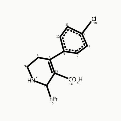 CCCC1NCCC(c2ccc(Cl)cc2)=C1C(=O)O